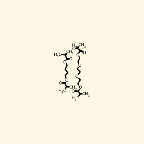 C=C(C)C(=O)OCCCCOC(=O)C(=C)C.C=C(C)C(=O)OCCOCCOCCOC(=O)C(=C)C